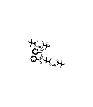 O=C([O][Al+][O]C(=O)C(F)(F)F)C(F)(F)F.O=C([O][Al+][O]C(=O)C(F)(F)F)C(F)(F)F.O=[PH]([O-])c1ccccc1.O=[PH]([O-])c1ccccc1